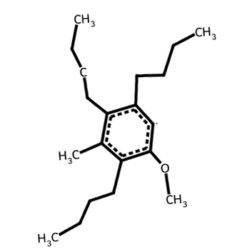 CCCCc1[c]c(OC)c(CCCC)c(C)c1CCCC